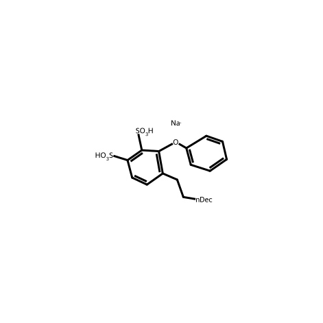 CCCCCCCCCCCCc1ccc(S(=O)(=O)O)c(S(=O)(=O)O)c1Oc1ccccc1.[Na]